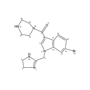 O=C(c1cn(CC2=NCCN2)c2cc(Br)ccc12)N1CCNCC1